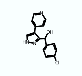 OC(c1ccc(Cl)cc1)c1n[nH]cc1-c1ccncc1